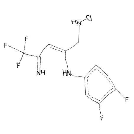 N=C(/C=C(/CNCl)Nc1ccc(F)c(F)c1)C(F)(F)F